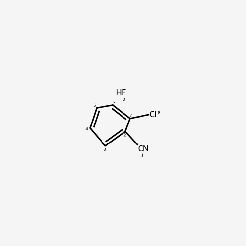 F.N#Cc1ccccc1Cl